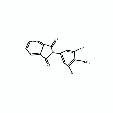 Nc1c(Br)cc(N2C(=O)c3ccccc3C2=O)cc1Br